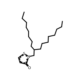 CCCCCCCCC(CCCCCCCC)Cn1sccc1=O